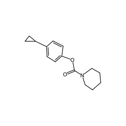 O=C(Oc1ccc(C2CC2)cc1)N1CCCCC1